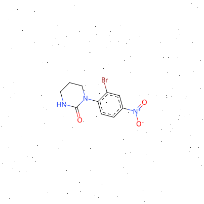 O=C1NCCCN1c1ccc([N+](=O)[O-])cc1Br